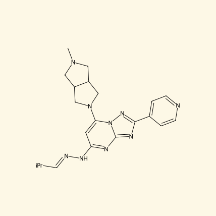 CC(C)/C=N/Nc1cc(N2CC3CN(C)CC3C2)n2nc(-c3ccncc3)nc2n1